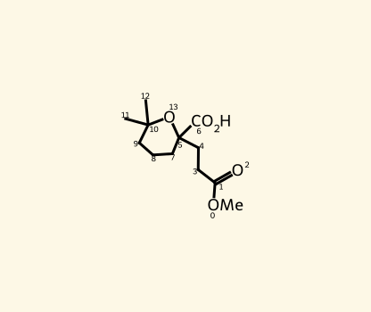 COC(=O)CCC1(C(=O)O)CCCC(C)(C)O1